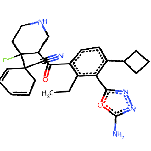 CCc1c(C(=O)C2CNCCC2(F)C2(C#N)C=CC=CC2)ccc(C2CCC2)c1-c1nnc(N)o1